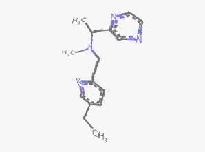 CCc1ccc(CN(C)C(C)c2cnccn2)nc1